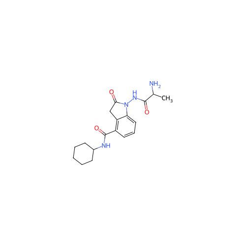 CC(N)C(=O)NN1C(=O)Cc2c(C(=O)NC3CCCCC3)cccc21